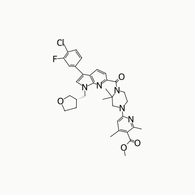 COC(=O)c1c(C)cc(N2CCN(C(=O)c3ccc4c(-c5ccc(Cl)c(F)c5)cn(C[C@@H]5CCOC5)c4n3)C(C)(C)C2)nc1C